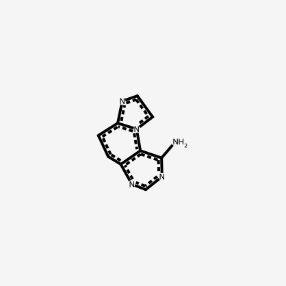 Nc1ncnc2ccc3nccn3c12